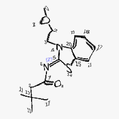 COCCn1/c(=N/C(=O)CC(C)(C)C)sc2ccccc21